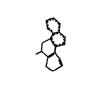 CC1Cc2c(ccc3ccccc23)C2=C1CCC=C2